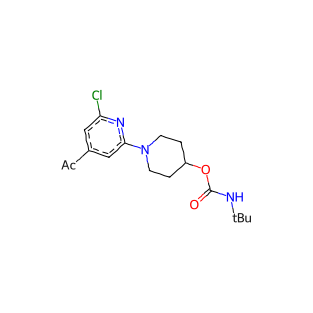 CC(=O)c1cc(Cl)nc(N2CCC(OC(=O)NC(C)(C)C)CC2)c1